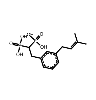 CC(C)=CCc1cccc(CC(P(=O)(O)O)P(=O)(O)O)c1